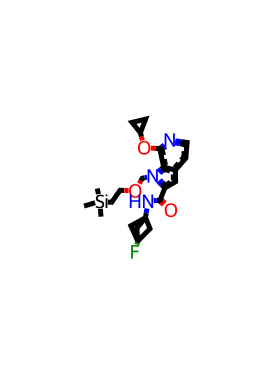 C[Si](C)(C)CCOCn1c(C(=O)NC23CC(F)(C2)C3)cc2ccnc(OC3CC3)c21